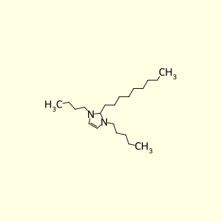 CCCCCCCCCC1N(CCCC)C=CN1CCCCC